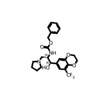 O=C(N[C@H](CN1CCCC1)[C@H](O)c1cc2c(c(C(F)(F)F)c1)OCCO2)OCc1ccccc1